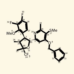 COc1c([C@H]2[C@H](c3cc(OCc4ccccc4)c(SC)c(C)n3)O[C@@](C)(C(F)(F)F)[C@H]2C)ccc(F)c1F